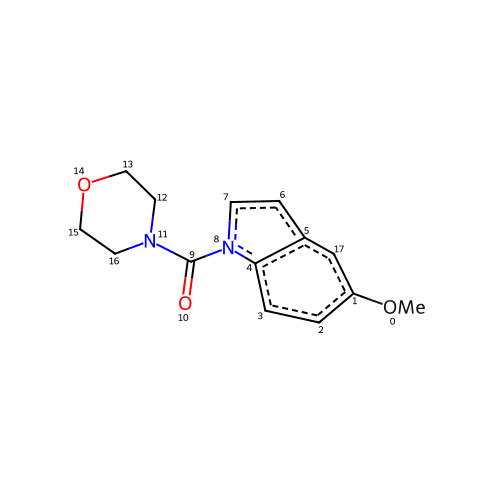 COc1ccc2c(ccn2C(=O)N2CCOCC2)c1